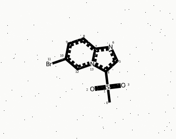 CS(=O)(=O)c1cnc2ccc(Br)cn12